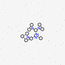 c1ccc(-c2nc(-c3cc(-n4c5ccccc5c5ccccc54)cc(-n4c5ccccc5c5ccccc54)c3)cc(-c3ccc4c5cccc6c5n(c4c3)-c3ccccc3-c3ccccc3-6)n2)cc1